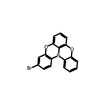 Brc1ccc2c(c1)Oc1cccc3c1N2c1ccccc1O3